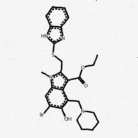 CCOC(=O)c1c(CSc2nc3ccccc3[nH]2)n(C)c2cc(Br)c(O)c(CN3CCCCC3)c12